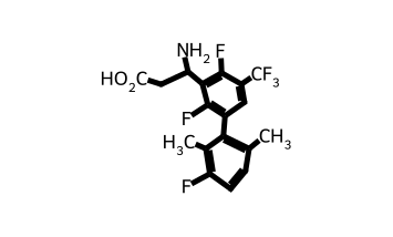 Cc1ccc(F)c(C)c1-c1cc(C(F)(F)F)c(F)c(C(N)CC(=O)O)c1F